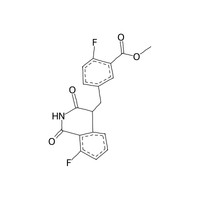 COC(=O)c1cc(CC2C(=O)NC(=O)c3c(F)cccc32)ccc1F